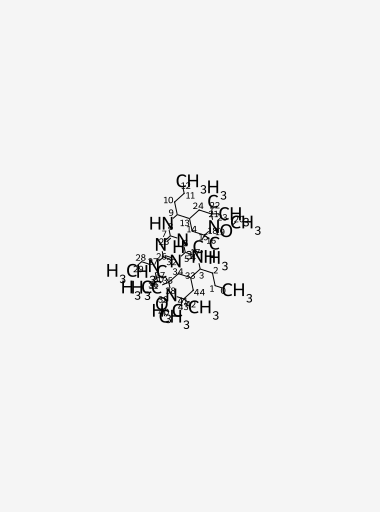 CCCC(Nc1nc(NC(CCC)C2CC(C)(C)N(OC)C(C)(C)C2)nc(N(CC)CC)n1)C1CC(C)(C)N(OC)C(C)(C)C1